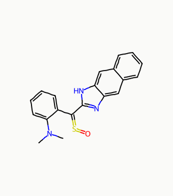 CN(C)c1ccccc1C(=S=O)c1nc2cc3ccccc3cc2[nH]1